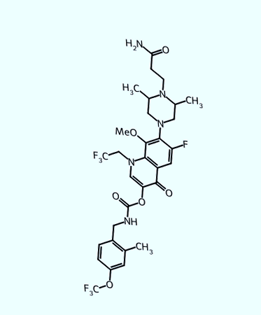 COc1c(N2CC(C)N(CCC(N)=O)C(C)C2)c(F)cc2c(=O)c(OC(=O)NCc3ccc(OC(F)(F)F)cc3C)cn(CC(F)(F)F)c12